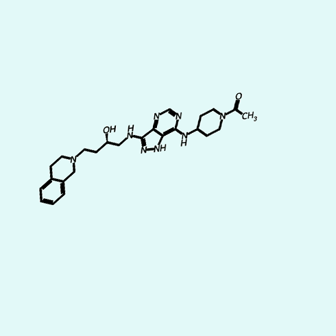 CC(=O)N1CCC(Nc2ncnc3c(NC[C@H](O)CCN4CCc5ccccc5C4)n[nH]c23)CC1